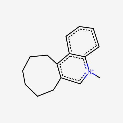 C[n+]1cc2c(c3ccccc31)CCCCCC2